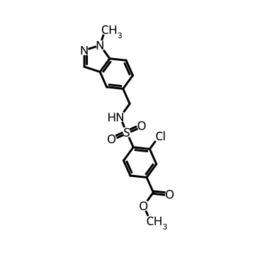 COC(=O)c1ccc(S(=O)(=O)NCc2ccc3c(cnn3C)c2)c(Cl)c1